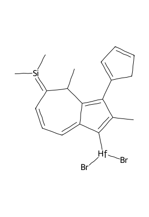 CC1=[C]([Hf]([Br])[Br])C2=CC=CC(=[Si](C)C)C(C)C2=C1C1=CC=CC1